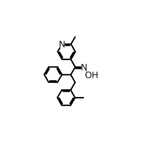 Cc1cc(C(=NO)C(Cc2ccccc2C)c2ccccc2)ccn1